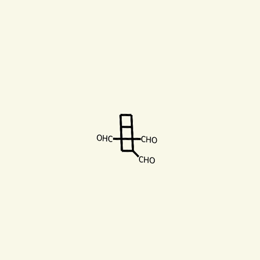 O=CC12C3C4C5C3C1(C=O)C5(C=O)C42